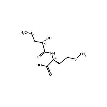 CSCC[C@H](NC(=O)[C@@H](O)C[Se]C)C(=O)O